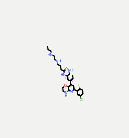 C/C=C(\C=C(/C=N)NC(=O)CCCNCCNCCC)c1cc(-c2cc(Cl)ccc2F)nc2c1OCCN2